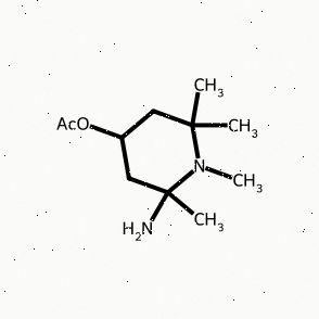 CC(=O)OC1CC(C)(C)N(C)C(C)(N)C1